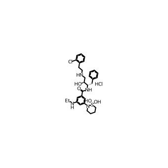 CCNc1cc(C(=O)N[C@@H](Cc2ccccc2)[C@@H](O)CNCCc2ccccc2Cl)cc(N2CCCCS2(O)O)c1.Cl